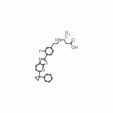 C[C@H](CC(=O)O)NCCc1ccc(-c2nc3ccc(C4(c5ccccc5)CC4)nc3s2)c(F)c1